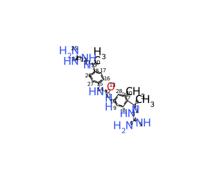 C/C(=N/NC(=N)N)c1ccc(NC(=O)Nc2ccc(/C(C)=N/NC(=N)N)cc2)cc1C